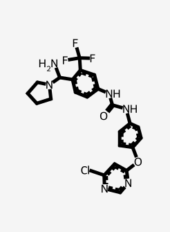 NC(c1ccc(NC(=O)Nc2ccc(Oc3cc(Cl)ncn3)cc2)cc1C(F)(F)F)N1CCCC1